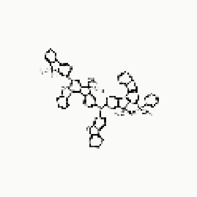 CC1(C)c2ccccc2-c2ccc(-c3cc4c(c5c3oc3ccccc35)-c3ccc(N(c5ccc6c(c5)C(C)(C)c5c7c(c8oc9ccccc9c8c5-6)-c5ccccc5C7(C)C)c5ccc6c(c5)oc5ccccc56)cc3C4(C)C)cc21